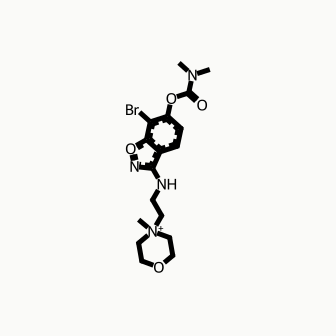 CN(C)C(=O)Oc1ccc2c(NCC[N+]3(C)CCOCC3)noc2c1Br